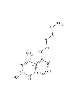 CCCCCOc1cccc2c1C(N)=N[S+]([O-])N2